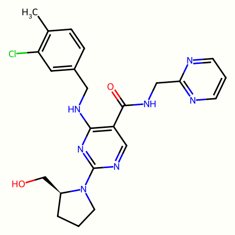 Cc1ccc(CNc2nc(N3CCC[C@H]3CO)ncc2C(=O)NCc2ncccn2)cc1Cl